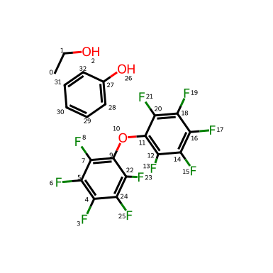 CCO.Fc1c(F)c(F)c(Oc2c(F)c(F)c(F)c(F)c2F)c(F)c1F.Oc1ccccc1